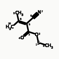 CSOC(=O)C(C#N)=C(C)C